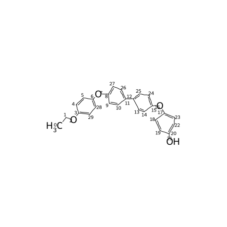 CCOc1ccc(Oc2ccc(-c3ccc(Oc4ccc(O)cc4)cc3)cc2)cc1